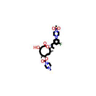 C/C(=C\c1cc(F)cc(N2CCN(S(C)(=O)=O)CC2)c1)[C@H]1OC(=O)C[C@H](O)CC[C@H](C)[C@H](OC(=O)N2CCN(C)CC2)/C=C/[C@@H]1C